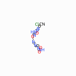 CC1CN(c2ccc(C#N)c(Cl)c2)CCN1C(=O)Nc1ccc(OCCCCN2CCC(n3ccc4c(N5CCC(=O)NC5=O)cccc43)CC2)nc1